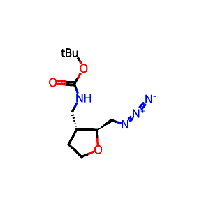 CC(C)(C)OC(=O)NC[C@H]1CCO[C@@H]1CN=[N+]=[N-]